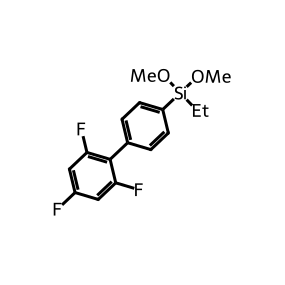 CC[Si](OC)(OC)c1ccc(-c2c(F)cc(F)cc2F)cc1